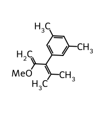 C=C(OC)C(=C(C)C)c1cc(C)cc(C)c1